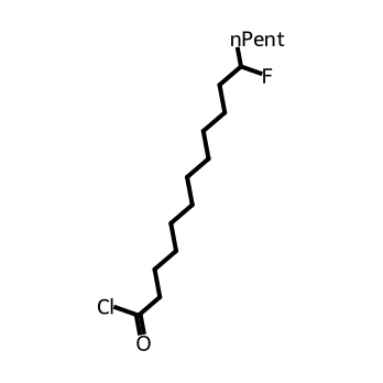 CCCCCC(F)CCCCCCCCCCC(=O)Cl